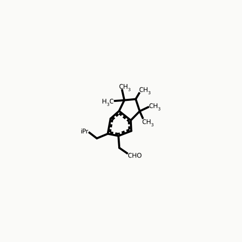 CC(C)Cc1cc2c(cc1CC=O)C(C)(C)C(C)C2(C)C